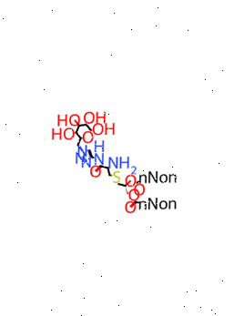 CCCCCCCCCC(=O)OC[C@H](CSC[C@@H](N)C(=O)Nc1cn(CC2OC(O)C(O)C(O)C2O)nn1)OC(=O)CCCCCCCCC